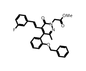 COC(=O)Cn1nc(C)c(-c2ccccc2OCc2ccccc2)c(C=Cc2cccc(F)c2)c1=O